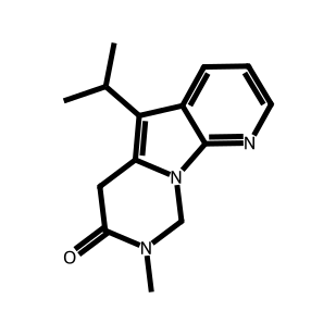 CC(C)c1c2n(c3ncccc13)CN(C)C(=O)C2